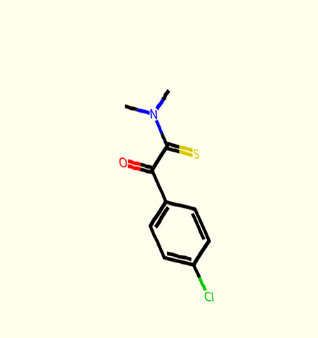 CN(C)C(=S)C(=O)c1ccc(Cl)cc1